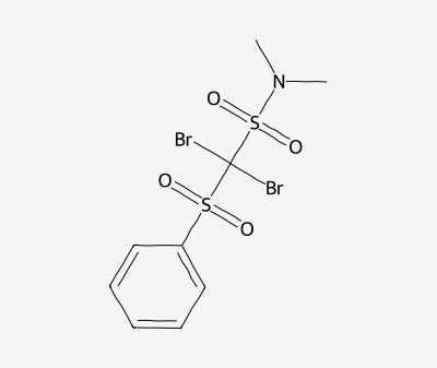 CN(C)S(=O)(=O)C(Br)(Br)S(=O)(=O)c1ccccc1